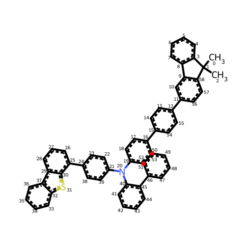 CC1(C)c2ccccc2-c2cc(-c3ccc(-c4ccc(N(c5ccc(-c6cccc7c6sc6ccccc67)cc5)c5ccccc5-c5ccccc5)cc4)cc3)ccc21